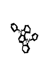 C1=CC2c3ccc4c(c3N(c3ccccc3)C2C=C1)c1ccccc1n4-c1ccccc1